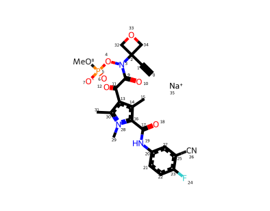 C#CC1(N(OP(=O)([O-])OC)C(=O)C(=O)c2c(C)c(C(=O)Nc3ccc(F)c(C#N)c3)n(C)c2C)COC1.[Na+]